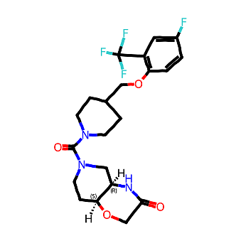 O=C1CO[C@H]2CCN(C(=O)N3CCC(COc4ccc(F)cc4C(F)(F)F)CC3)C[C@H]2N1